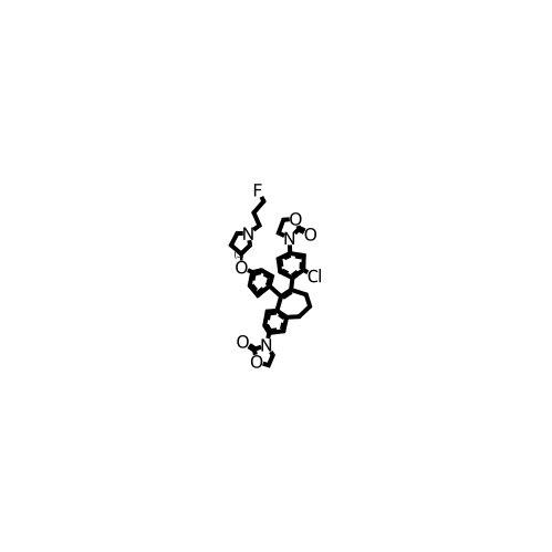 O=C1OCCN1c1ccc(C2=C(c3ccc(O[C@H]4CCN(CCCF)C4)cc3)c3ccc(N4CCOC4=O)cc3CCC2)c(Cl)c1